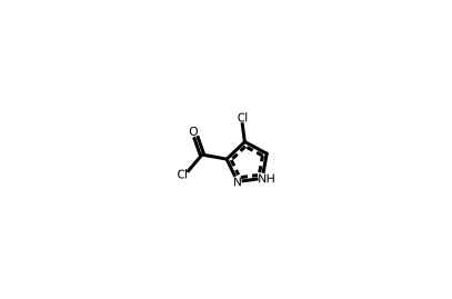 O=C(Cl)c1n[nH]cc1Cl